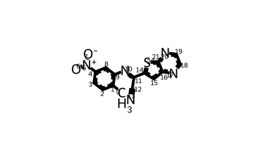 Cc1ccc([N+](=O)[O-])cc1/N=C(\C#N)c1cc2nccnc2s1